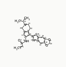 C=CC(=O)Nc1sc2c(c1-c1nc3cc4c(cc3s1)OCO4)CCN(C(C)C)C2